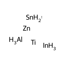 [AlH3].[InH3].[SnH2].[Ti].[Zn]